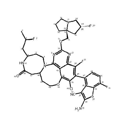 CC(F)CC1CCN2c3nc(OC[C@@]45CCCN4C[C@H](F)C5)nc4c(F)c(-c5ccc(F)c6sc(N)c(C#N)c56)c(Cl)c(c34)OCCC2CC(=O)N1